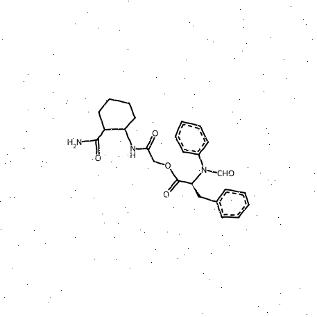 NC(=O)C1CCCCC1NC(=O)COC(=O)[C@H](Cc1ccccc1)N(C=O)c1ccccc1